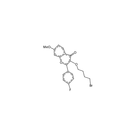 COc1ccc2c(=O)c(OCCCCBr)c(-c3ccc(F)cc3)oc2c1